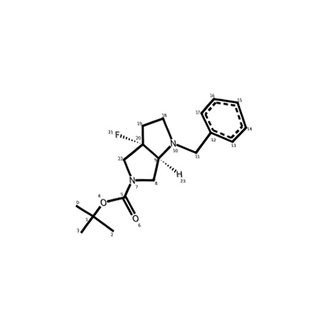 CC(C)(C)OC(=O)N1C[C@@H]2N(Cc3ccccc3)CC[C@]2(F)C1